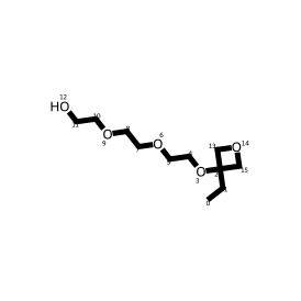 CCC1(OCCOCCOCCO)COC1